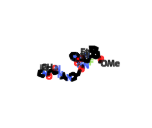 CCc1cccc2cc(OCOC)cc(-c3ncc4c(N5CC6CCC(C5)N6C(=O)OC(C)(C)C)nc(OCCC5CCN(CC6CN(c7cc(C(C(=O)N8CCCC8C)C(C)C)on7)C6)CC5)nc4c3F)c12